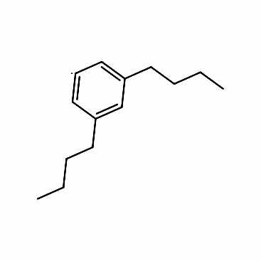 CCCCc1c[c]cc(CCCC)c1